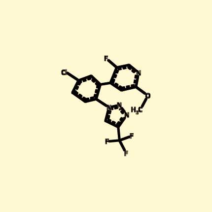 COc1cc(-c2cc(Cl)ccc2-n2cc(C(F)(F)F)nn2)c(F)cn1